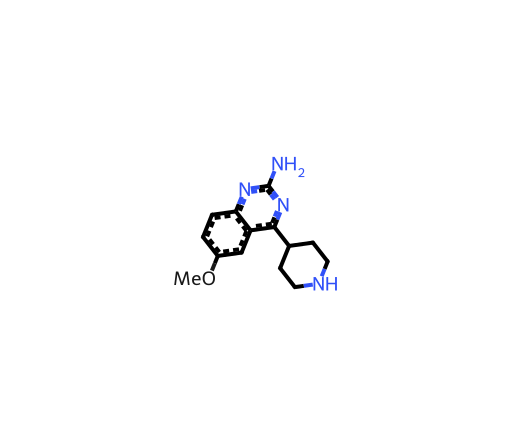 COc1ccc2nc(N)nc(C3CCNCC3)c2c1